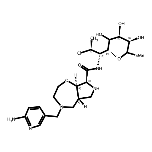 CSC1O[C@H]([C@H](NC(=O)[C@H]2NC[C@@H]3CN(Cc4ccc(N)nc4)CCO[C@H]32)[C@H](C)Cl)C(O)[C@@H](O)[C@H]1O